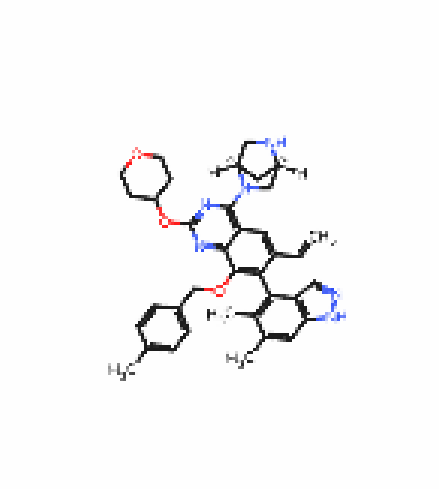 C=Cc1cc2c(N3C[C@@H]4C[C@H]3CN4)nc(OC3CCOCC3)nc2c(OCc2ccc(C)cc2)c1-c1c(C)c(C)cc2[nH]ncc12